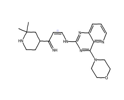 CC1(C)CC(C(=N)/C=C\Nc2nc(N3CCOCC3)c3ncccc3n2)CCN1